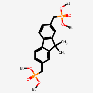 CCOP(=O)(Cc1ccc2c(c1)C(C)(C)c1cc(CP(=O)(OCC)OCC)ccc1-2)OCC